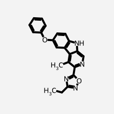 CCc1noc(-c2ncc3[nH]c4ccc(Oc5ccccc5)cc4c3c2C)n1